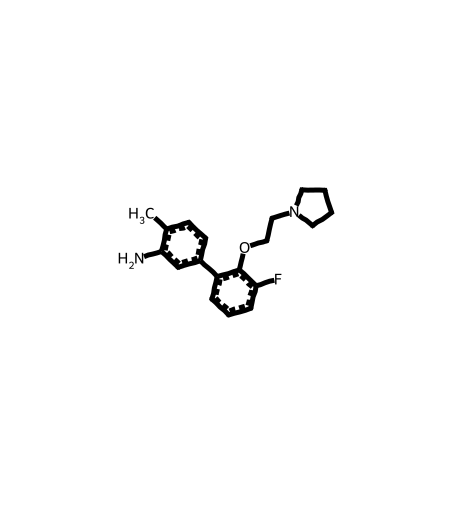 Cc1ccc(-c2cccc(F)c2OCCN2CCCC2)cc1N